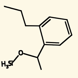 CCCc1ccccc1C(C)O[SiH3]